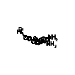 Nc1ccc(CC(=Cc2ccc(OC(=O)c3ccc(OCCCCC(F)(F)F)cc3)cc2)C(=O)O)c(N)c1